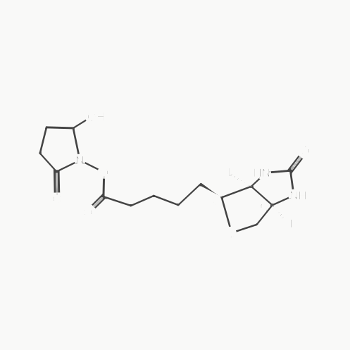 O=C1N[C@H]2[C@H](CS[C@H]2CCCCC(=O)ON2C(=O)CCC2O)N1